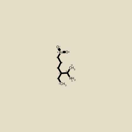 CCC(CCC[As](=O)=O)C(C)N